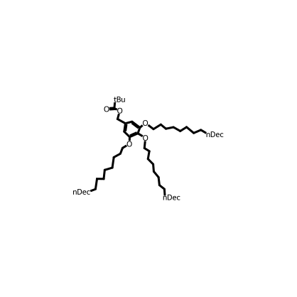 CCCCCCCCCCCCCCCCCCOc1cc(COC(=O)C(C)(C)C)cc(OCCCCCCCCCCCCCCCCCC)c1OCCCCCCCCCCCCCCCCCC